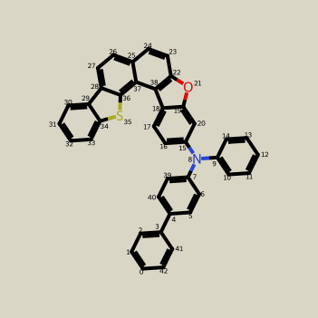 c1ccc(-c2ccc(N(c3ccccc3)c3ccc4c(c3)oc3ccc5ccc6c7ccccc7sc6c5c34)cc2)cc1